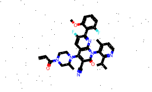 C=CC(=O)N1CCN(c2c(C#N)c(=O)n(-c3c(C)ccnc3C(C)C)c3nc(-c4c(F)cccc4OC)c(F)cc23)C(C)C1